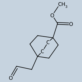 COC(=O)C12CCC(CC=O)(CC1)CC2